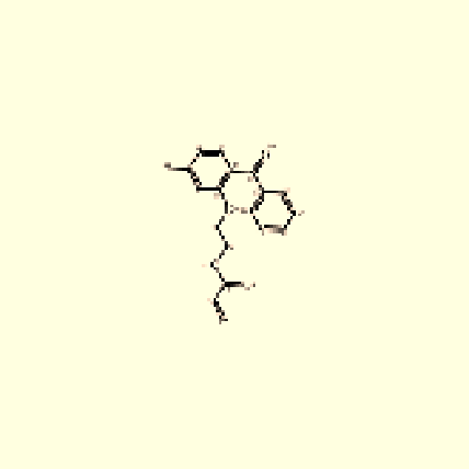 C=CC(=O)OCCOc1cc(C)ccc1C(=O)c1ccccc1